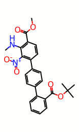 CNc1c(C(=O)OC)ccc(-c2ccc(-c3ccccc3C(=O)OC(C)(C)C)cc2)c1[N+](=O)[O-]